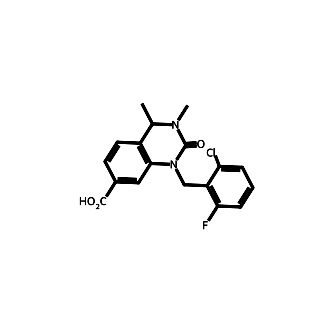 CC1c2ccc(C(=O)O)cc2N(Cc2c(F)cccc2Cl)C(=O)N1C